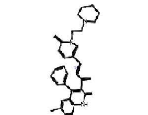 C=C(/C=C/C1=CN(CCN2CCCCC2)C(=C)C=C1)C1=C(c2ccccc2)c2cc(C)ccc2NC1=C